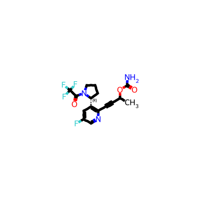 CC(C#Cc1ncc(F)cc1[C@H]1CCCN1C(=O)C(F)(F)F)OC(N)=O